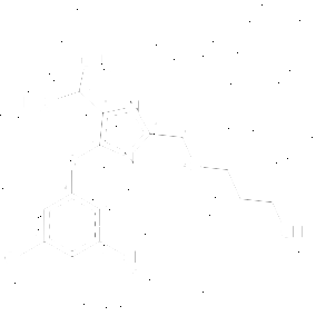 CCCCOCc1nc(C(C)C)c(Sc2cc(Cl)cc(Cl)c2)[nH]1